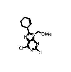 COCn1c(C2C=CCCC2)nc2c(Cl)nc(Cl)nc21